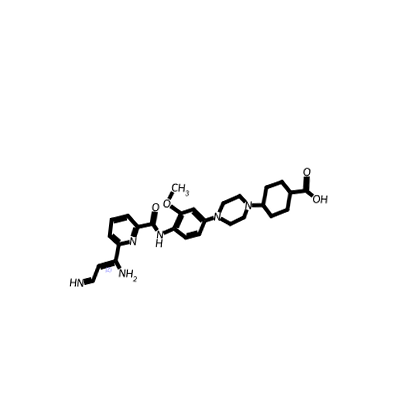 COc1cc(N2CCN(C3CCC(C(=O)O)CC3)CC2)ccc1NC(=O)c1cccc(/C(N)=C/C=N)n1